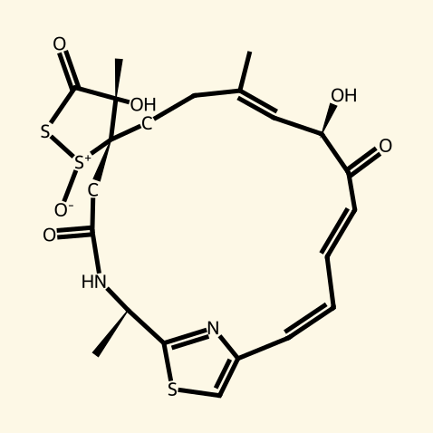 C/C1=C\[C@@H](O)C(=O)/C=C/C=C\c2csc(n2)[C@@H](C)NC(=O)C[C@@]2(CC1)[S+]([O-])SC(=O)[C@]2(C)O